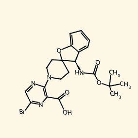 CC(C)(C)OC(=O)N[C@@H]1c2ccccc2OC12CCN(c1ncc(Br)nc1C(=O)O)CC2